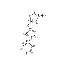 F[C@@H]1CCN(Cc2cnc(-c3ccccc3)s2)C1